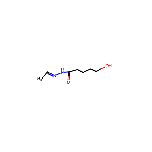 CC=NNC(=O)CCCCO